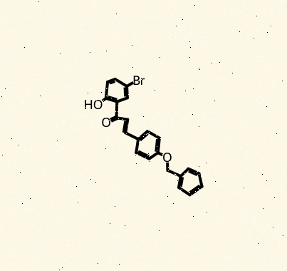 O=C(C=Cc1ccc(OCc2ccccc2)cc1)c1cc(Br)ccc1O